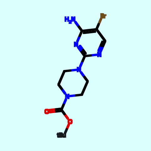 CC(C)(C)OC(=O)N1CCN(c2ncc(Br)c(N)n2)CC1